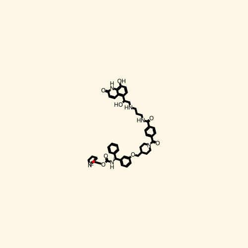 O=C(N[C@@H](c1ccccc1)c1cccc(OCC2CCN(C(=O)c3ccc(C(=O)NCCCNCC(O)c4ccc(O)c5[nH]c(=O)ccc45)cc3)CC2)c1)OC1CN2CCC1CC2